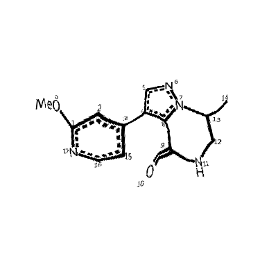 COc1cc(-c2cnn3c2C(=O)NCC3C)ccn1